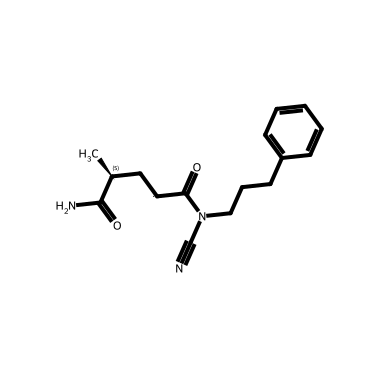 C[C@@H](C[CH]C(=O)N(C#N)CCCc1ccccc1)C(N)=O